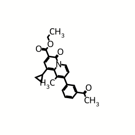 CCOC(=O)c1cc(C2CC2)c2c(C)c(-c3cccc(C(C)=O)c3)ccn2c1=O